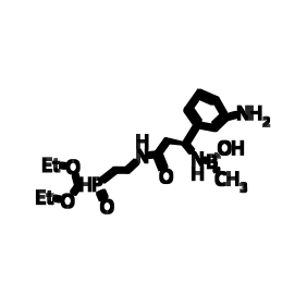 CCOC(OCC)[PH](=O)CCNC(=O)C[C@H](NB(C)O)c1cccc(N)c1